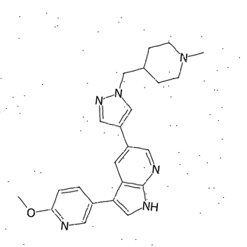 COc1ccc(-c2c[nH]c3ncc(-c4cnn(CC5CCN(C)CC5)c4)cc23)cn1